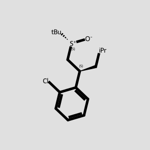 CC(C)C[C@H](C[S@@+]([O-])C(C)(C)C)c1ccccc1Cl